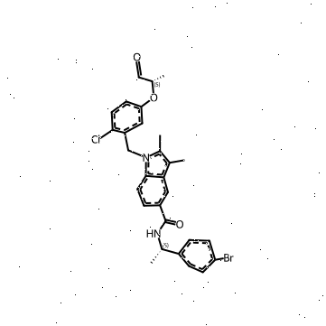 Cc1c(C)n(Cc2cc(O[C@@H](C)C=O)ccc2Cl)c2ccc(C(=O)N[C@@H](C)c3ccc(Br)cc3)cc12